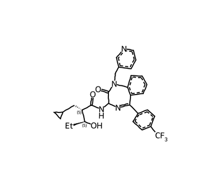 CC[C@H](O)[C@H](CC1CC1)C(=O)NC1N=C(c2ccc(C(F)(F)F)cc2)c2ccccc2N(Cc2cccnc2)C1=O